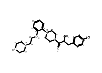 NC(Cc1ccc(Cl)cc1)C(=O)N1CCN(c2ccccc2OCCN2CCOCC2)CC1